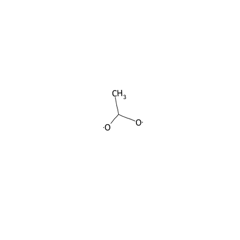 CC([O])[O]